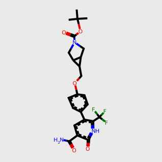 CC(C)(C)OC(=O)N1CC2C(COc3ccc(-c4cc(C(N)=O)c(=O)[nH]c4C(F)(F)F)cc3)C2C1